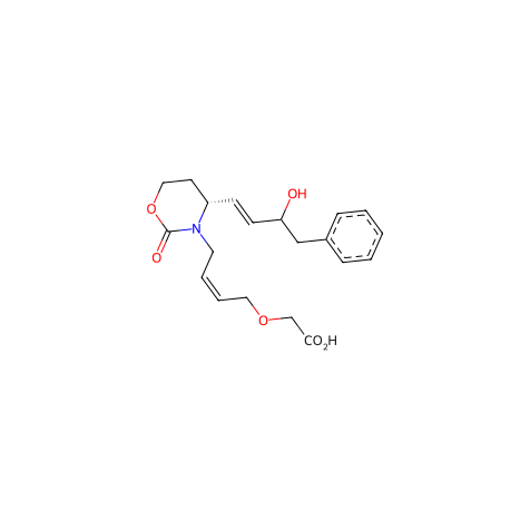 O=C(O)COC/C=C\CN1C(=O)OCC[C@@H]1/C=C/C(O)Cc1ccccc1